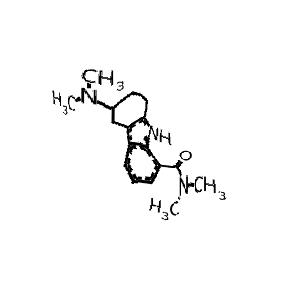 CN(C)C(=O)c1cccc2c3c([nH]c12)CCC(N(C)C)C3